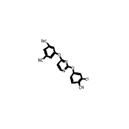 N#Cc1cc(C#N)cc(Oc2ccnc(Oc3ccc(C#N)c(Cl)c3)n2)c1